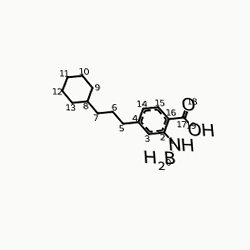 BNc1cc(CCCC2CCCCC2)ccc1C(=O)O